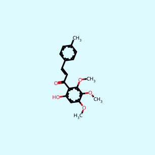 COc1cc(O)c(C(=O)C=Cc2ccc(C)cc2)c(OC)c1OC